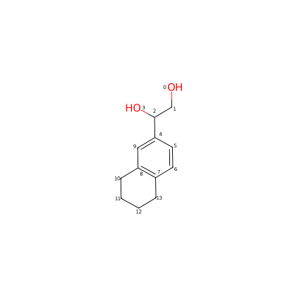 OCC(O)c1ccc2c(c1)CCCC2